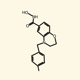 Cc1ccc(CN2CCOc3ccc(C(=O)NO)cc32)cc1